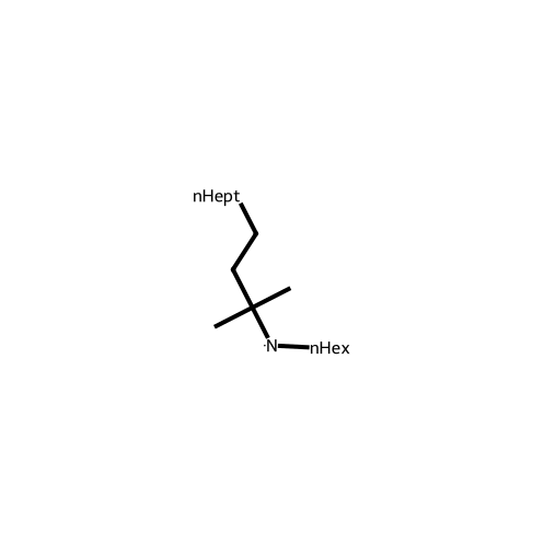 CCCCCCCCCC(C)(C)[N]CCCCCC